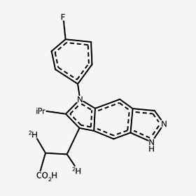 [2H]C(C(=O)O)C([2H])c1c(C(C)C)n(-c2ccc(F)cc2)c2cc3cn[nH]c3cc12